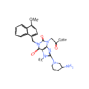 CCn1c(N2CCCC(N)C2)nc2c1c(=O)n(Cc1ccc(OC)c3ccccc13)c(=O)n2CC(=O)OC